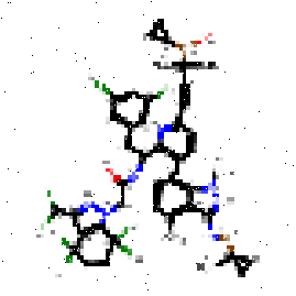 Cc1ccc(-c2ccc(C#CC(C)(C)[S+]([O-])C3CC3)nc2C(Cc2cc(F)cc(F)c2)NC(=O)Cn2nc(C(F)F)c3c2C(F)(F)CCC3(F)F)c2c1c(NSC1(C)CC1)nn2C